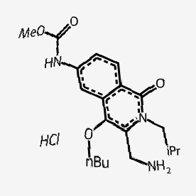 CCCCOc1c(CN)n(CC(C)C)c(=O)c2ccc(NC(=O)OC)cc12.Cl